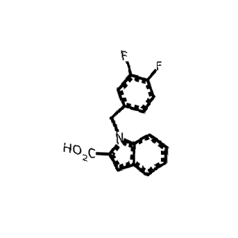 O=C(O)c1cc2ccccc2n1Cc1ccc(F)c(F)c1